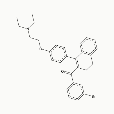 CCN(CC)CCOc1ccc(C2=C(C(=O)c3cccc(Br)c3)CCc3ccccc32)cc1